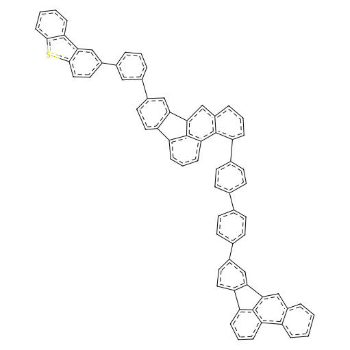 c1cc(-c2ccc3c(c2)-c2cc4cccc(-c5ccc(-c6ccc(-c7ccc8c(c7)-c7cc9ccccc9c9cccc-8c79)cc6)cc5)c4c4cccc-3c24)cc(-c2ccc3sc4ccccc4c3c2)c1